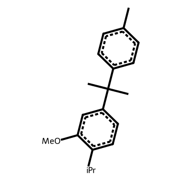 COc1cc(C(C)(C)c2ccc(C)cc2)ccc1C(C)C